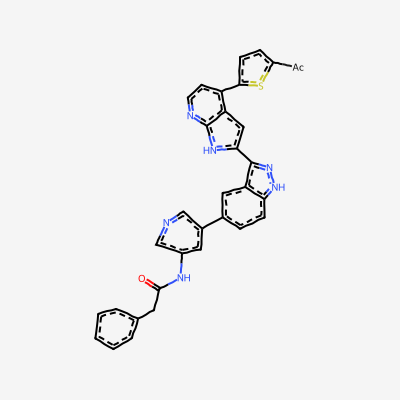 CC(=O)c1ccc(-c2ccnc3[nH]c(-c4n[nH]c5ccc(-c6cncc(NC(=O)Cc7ccccc7)c6)cc45)cc23)s1